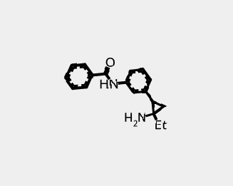 CCC1(N)CC1c1cccc(NC(=O)c2ccccc2)c1